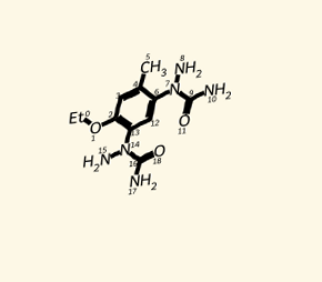 CCOc1cc(C)c(N(N)C(N)=O)cc1N(N)C(N)=O